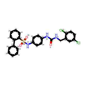 O=C(NCc1cc(Cl)ccc1Cl)Nc1ccc(NS(=O)(=O)c2ccccc2-c2ccccc2)cc1